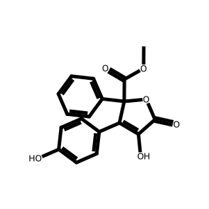 COC(=O)C1(c2ccccc2)OC(=O)C(O)=C1c1ccc(O)cc1